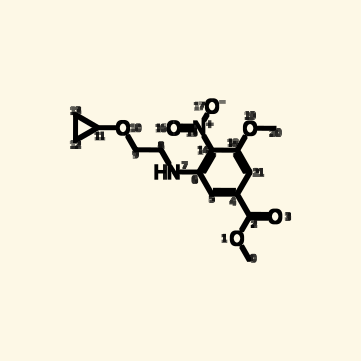 COC(=O)c1cc(NCCOC2CC2)c([N+](=O)[O-])c(OC)c1